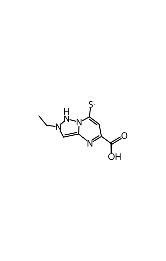 CCN1C=C2N=C(C(=O)O)C=C([S])N2N1